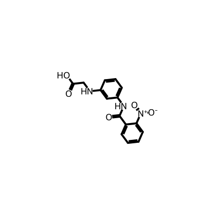 O=C(O)CNc1cccc(NC(=O)c2ccccc2[N+](=O)[O-])c1